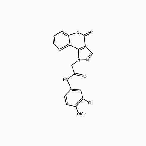 COc1ccc(NC(=O)Cn2ncc3c(=O)oc4ccccc4c32)cc1Cl